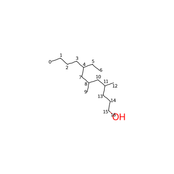 CCCCC(CC)CC(C)CC(C)CCCO